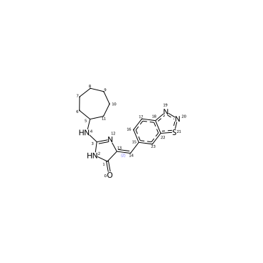 O=C1NC(NC2CCCCCC2)=N/C1=C\c1ccc2nnsc2c1